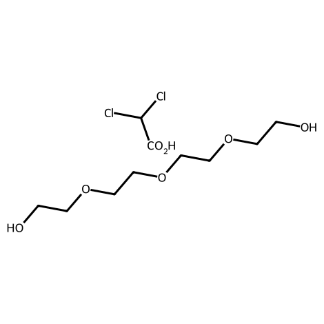 O=C(O)C(Cl)Cl.OCCOCCOCCOCCO